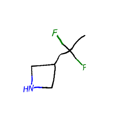 CC(F)(F)C1CNC1